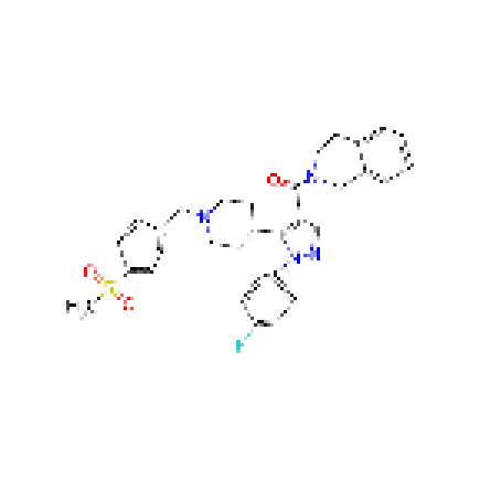 CS(=O)(=O)c1ccc(CN2CCC(c3c(C(=O)N4CCc5ccccc5C4)cnn3-c3ccc(F)cc3)CC2)cc1